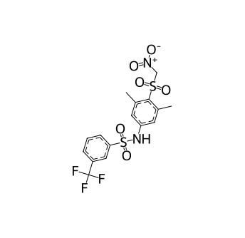 Cc1cc(NS(=O)(=O)c2cccc(C(F)(F)F)c2)cc(C)c1S(=O)(=O)C[N+](=O)[O-]